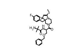 CSC1=CC(=O)C2(Cc3ccc(F)cc3)CN(C(=O)C(COCc3ccccc3)NC(=O)C(C)(C)N)CCN12